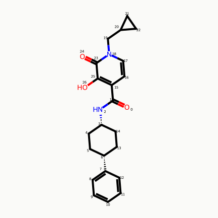 O=C(N[C@H]1CC[C@@H](c2ccccc2)CC1)c1ccn(CC2CC2)c(=O)c1O